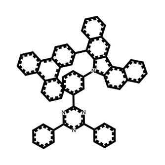 c1ccc(-c2nc(-c3ccccc3)nc(-c3cccc(-n4c5ccc6ccccc6c5c5cc6ccccc6c(-c6ccc7c8ccccc8c8ccccc8c7c6)c54)c3)n2)cc1